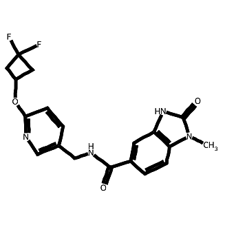 Cn1c(=O)[nH]c2cc(C(=O)NCc3ccc(OC4CC(F)(F)C4)nc3)ccc21